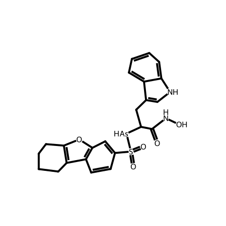 O=C(NO)C(Cc1c[nH]c2ccccc12)[AsH]S(=O)(=O)c1ccc2c3c(oc2c1)CCCC3